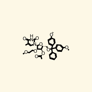 COCCO[C@@H]1[C@H](OC(C)=O)[C@@H](COC(c2ccccc2)(c2ccc(OC)cc2)c2ccc(OC)cc2)O[C@H]1n1cc(C)c(=O)[nH]c1=O